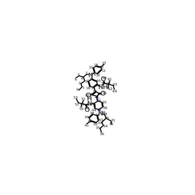 CCCCC(CC)CN(c1ccc(C)cc1)c1ccc(C2=C([O-])/C(=C3C=C/C(=[N+](\CC(CC)CCCC)c4ccc(C)cc4)C=C/3NC(=O)C(C)(C)CC)C2=O)c(NC(=O)C(C)(C)CC)c1